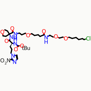 CC(C)(C)OC(=O)N[C@@H](CCCn1ccnc1[N+](=O)[O-])C(=O)NC1(C(=O)NCCCOCCCCC(=O)NCCOCCOCCCCCCCl)CCOCC1